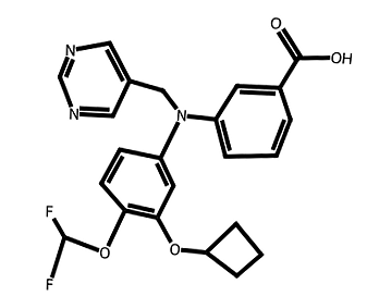 O=C(O)c1cccc(N(Cc2cncnc2)c2ccc(OC(F)F)c(OC3CCC3)c2)c1